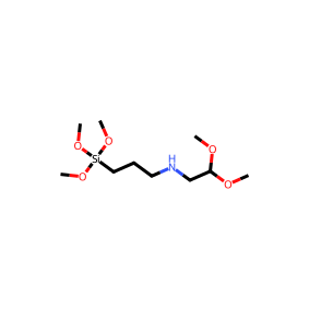 COC(CNCCC[Si](OC)(OC)OC)OC